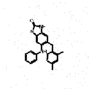 Cc1ccc(Cc2cc3c(cc2Nc2ccccc2)[N]C(=O)N3)c(C)c1